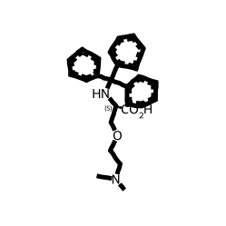 CN(C)CCOC[C@H](NC(c1ccccc1)(c1ccccc1)c1ccccc1)C(=O)O